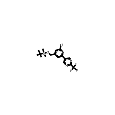 CC(C)(C)[Si](C)(C)OCc1cc(Cl)nc(-c2cnc(C(F)(F)F)nc2)c1